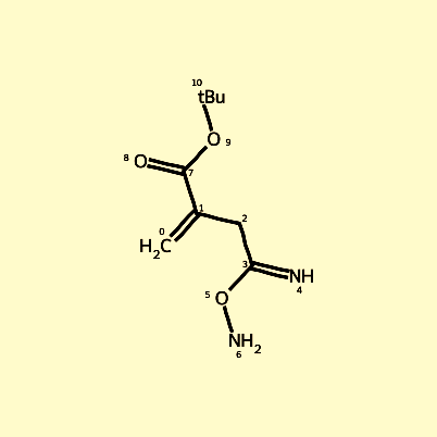 C=C(CC(=N)ON)C(=O)OC(C)(C)C